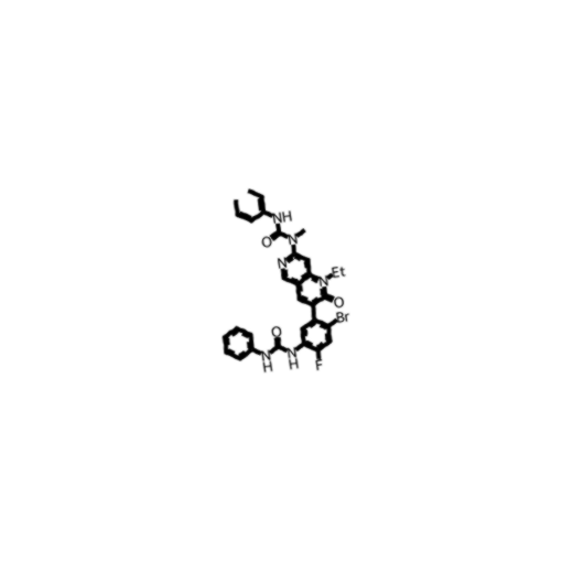 C/C=C\C(=C/C)NC(=O)N(C)c1cc2c(cn1)cc(-c1cc(NC(=O)Nc3ccccc3)c(F)cc1Br)c(=O)n2CC